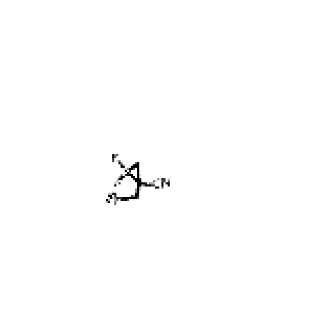 CC(C)CC1(C#N)CS1(F)F